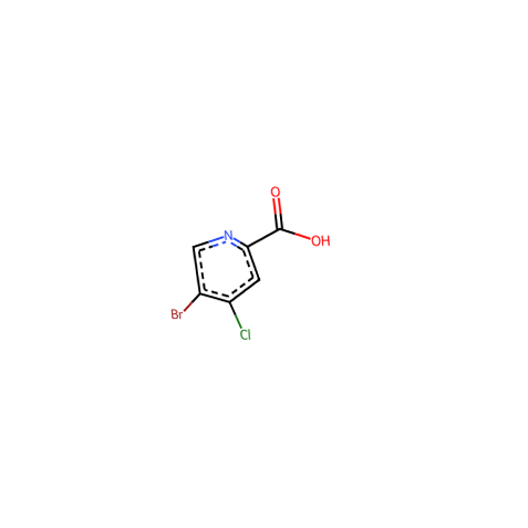 O=C(O)c1cc(Cl)c(Br)cn1